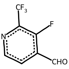 O=Cc1ccnc(C(F)(F)F)c1F